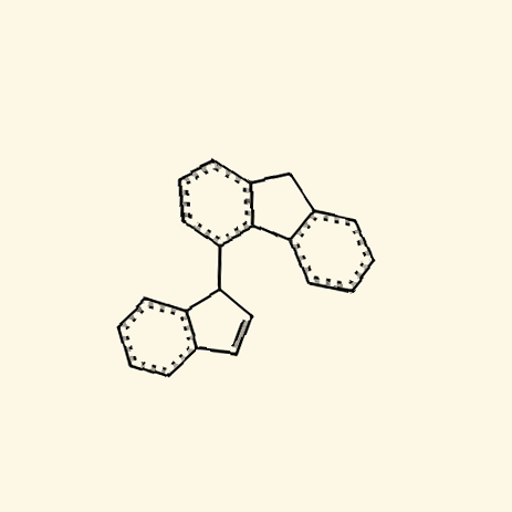 [c]1ccc2c(c1C1C=Cc3ccccc31)-c1ccccc1C2